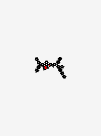 C=C(/C=C\C(=C/C)c1ccc(N(c2ccc(-c3ccccc3)cc2)c2ccc(-c3ccc(-c4ccc(-c5ccccc5)cc4)cc3)c(-c3ccccc3)c2)cc1)c1c2ccccc2c(-c2ccc(N(c3ccc(-c4ccccc4)cc3)c3ccc(-c4ccccc4)cc3)cc2-c2ccccc2)c2ccccc12